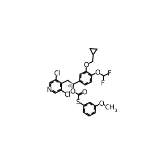 COc1cccc(SC(=O)O[C@@H](Cc2c(Cl)cncc2Cl)c2ccc(OC(F)F)c(OCC3CC3)c2)c1